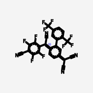 N#CC(C#N)=c1cc/c(=C(/C#N)c2c(F)c(F)c(C#N)c(F)c2F)c(-c2cc(C(F)(F)F)ccc2C(F)(F)F)c1